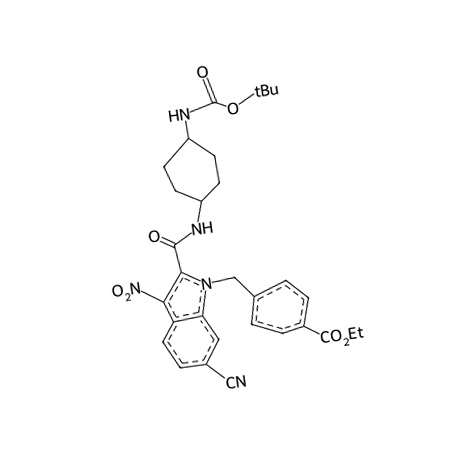 CCOC(=O)c1ccc(Cn2c(C(=O)NC3CCC(NC(=O)OC(C)(C)C)CC3)c([N+](=O)[O-])c3ccc(C#N)cc32)cc1